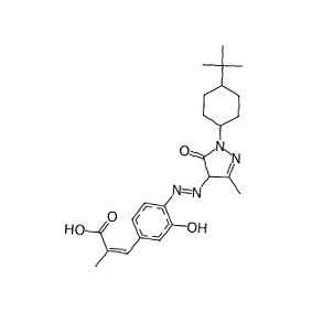 CC(=Cc1ccc(N=NC2C(=O)N(C3CCC(C(C)(C)C)CC3)N=C2C)c(O)c1)C(=O)O